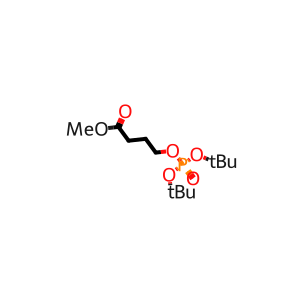 COC(=O)CCCOP(=O)(OC(C)(C)C)OC(C)(C)C